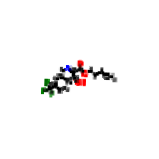 CCCCOC(=O)c1ncc2cc(C(F)(F)F)ccc2c1O